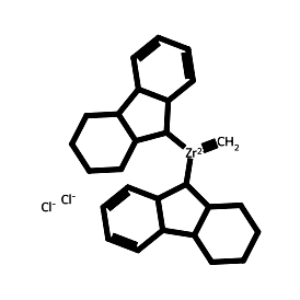 [CH2]=[Zr+2]([CH]1C2C=CC=CC2C2CCCCC21)[CH]1C2C=CC=CC2C2CCCCC21.[Cl-].[Cl-]